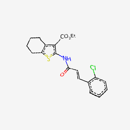 CCOC(=O)c1c(NC(=O)/C=C/c2ccccc2Cl)sc2c1CCCC2